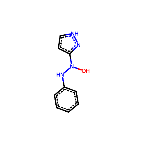 ON(Nc1ccccc1)c1cc[nH]n1